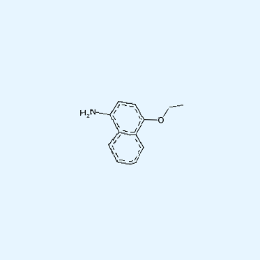 CCOc1ccc(N)c2ccccc12